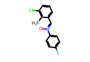 Cc1c(Cl)cccc1C=[N+]([O-])c1ccc(F)cc1